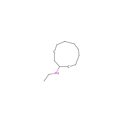 CCPC1CCCCCCCCC1